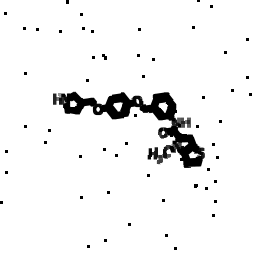 Cn1c(C(=O)Nc2cccc(COc3ccc(OCC4CCNC4)cc3)c2)cc2sccc21